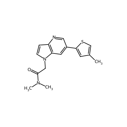 Cc1csc(-c2cnc3ccn(CC(=O)N(C)C)c3c2)c1